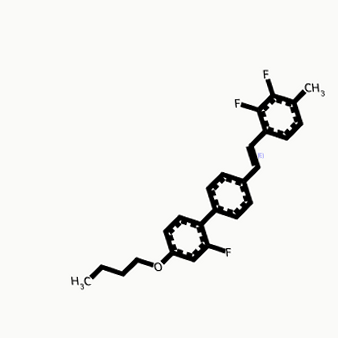 CCCCOc1ccc(-c2ccc(/C=C/c3ccc(C)c(F)c3F)cc2)c(F)c1